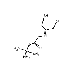 NC(N)(N)OC(=O)CN=C(CS)CS